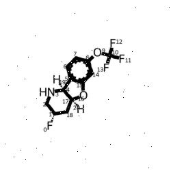 F[C@@H]1CN[C@H]2c3ccc(OC(F)(F)F)cc3O[C@H]2C1